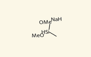 CO[SiH](C)OC.[NaH]